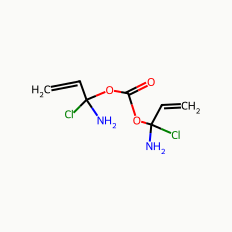 C=CC(N)(Cl)OC(=O)OC(N)(Cl)C=C